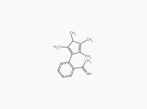 CC(=N)c1ccccc1C1=C(C)C(C)C(C)=C1C